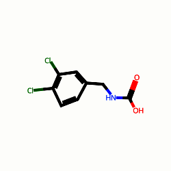 O=C(O)NCc1ccc(Cl)c(Cl)c1